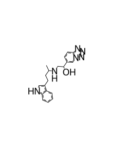 CC(CCc1c[nH]c2ccccc12)NCC(O)c1ccc2nnnn2c1